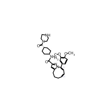 COc1ccc(/C2=C/C=C\CCCc3cc(C(=O)N[C@H]4CC[C@@H](C(=O)N5CCNCC5)CC4)nn32)cc1OC